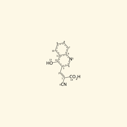 N#C/C(=C/c1cnc2ccccc2c1O)C(=O)O